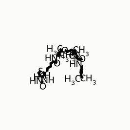 CC(C)C#CCNC(=O)COC(C)(C)CCOC(C)(C)CCNC(=O)CCCC[C@@H]1SC[C@@H]2NC(=O)N[C@@H]21